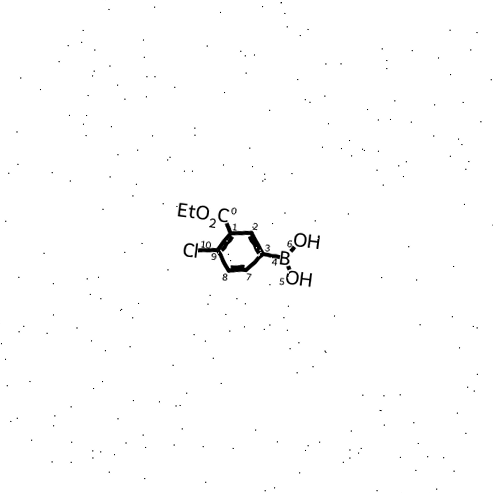 CCOC(=O)c1cc(B(O)O)ccc1Cl